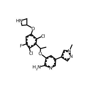 CC(Oc1cc(-c2cnn(C)c2)cnc1N)c1c(Cl)c(F)cc(OC2CNC2)c1Cl